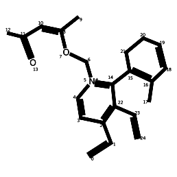 C=Cc1cc[n+](CO/C(C)=C\C(C)=O)c(C2=C(C)C=CCC2)c1C=C